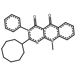 Cn1c2ccccc2c(=O)c2c(=O)n(-c3ccccc3)c(C3CCCCCCC3)nc21